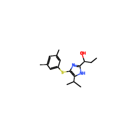 CCC(O)c1nc(Sc2cc(C)cc(C)c2)c(C(C)C)[nH]1